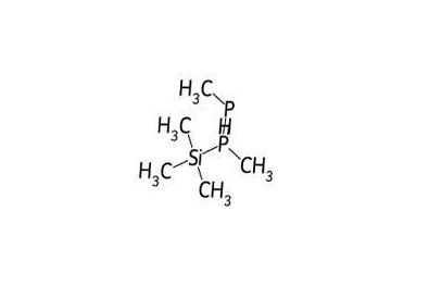 CP=[PH](C)[Si](C)(C)C